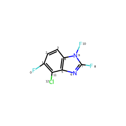 Fc1ccc2c(nc(F)n2F)c1Cl